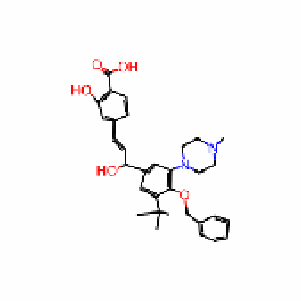 CN1CCN(c2cc(C(O)C=Cc3ccc(C(=O)O)c(O)c3)cc(C(C)(C)C)c2OCc2ccccc2)CC1